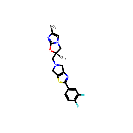 C[C@]1(CN2Cc3nc(-c4ccc(F)c(F)c4)sc3C2)Cn2cc([N+](=O)[O-])nc2O1